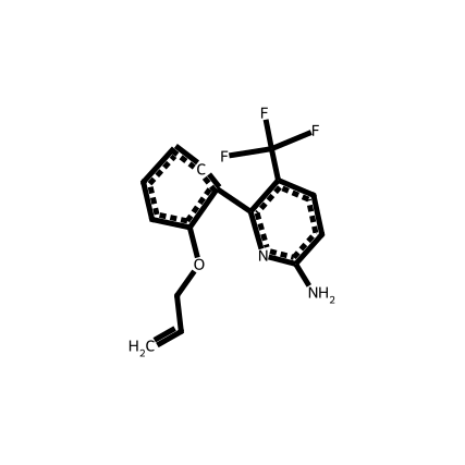 C=CCOc1ccccc1-c1nc(N)ccc1C(F)(F)F